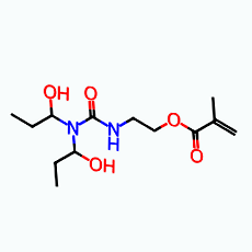 C=C(C)C(=O)OCCNC(=O)N(C(O)CC)C(O)CC